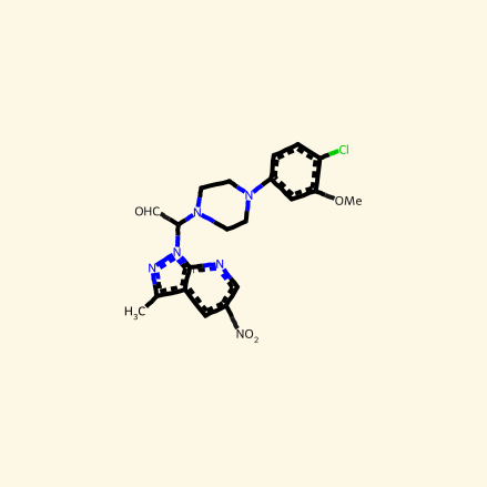 COc1cc(N2CCN(C(C=O)n3nc(C)c4cc([N+](=O)[O-])cnc43)CC2)ccc1Cl